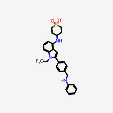 O=S1(=O)CCC(Nc2cccc3c2cc(-c2ccc(CNc4ccccc4)cc2)n3CC(F)(F)F)CC1